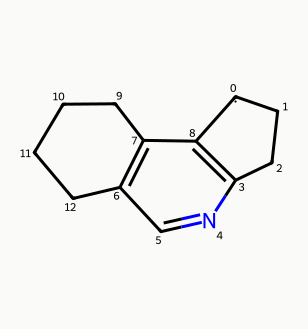 [CH]1CCc2ncc3c(c21)CCCC3